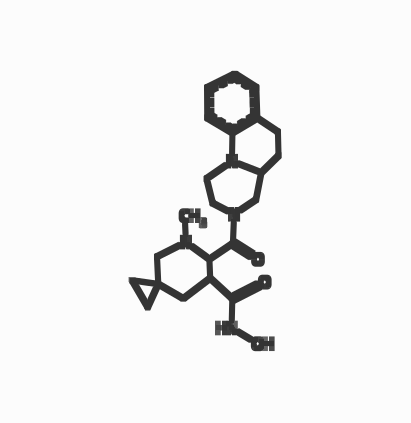 CN1CC2(CC2)CC(C(=O)NO)C1C(=O)N1CCN2c3ccccc3CCC2C1